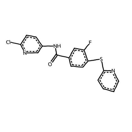 O=C(Nc1ccc(Cl)nc1)c1ccc(Sc2ccccn2)c(F)c1